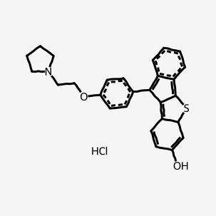 Cl.OC1=CC2SC3=c4ccccc4=C(c4ccc(OCCN5CCCC5)cc4)C3=C2C=C1